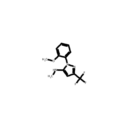 CNc1cc(C(F)(F)F)nn1-c1ccccc1OC